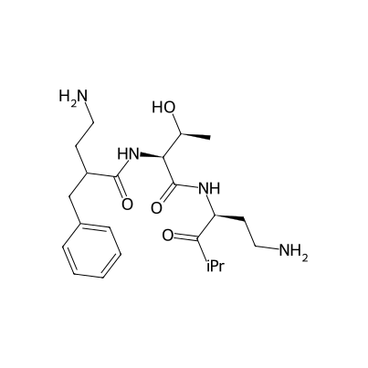 CC(C)C(=O)[C@H](CCN)NC(=O)[C@@H](NC(=O)C(CCN)Cc1ccccc1)[C@H](C)O